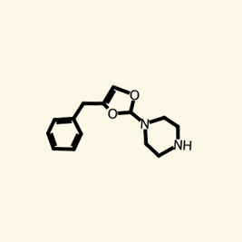 C1=C(Cc2ccccc2)OC(N2CCNCC2)O1